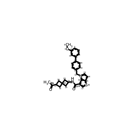 COc1cccc(-c2ccc(Cn3ccc4scc(C(=O)NC5CC6(C5)CC(C(C)=O)C6)c43)cc2)c1